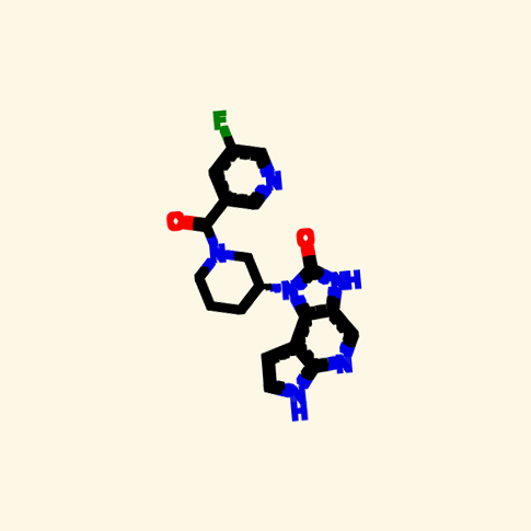 O=C(c1cncc(F)c1)N1CCC[C@@H](n2c(=O)[nH]c3cnc4[nH]ccc4c32)C1